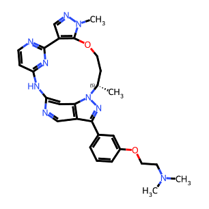 C[C@H]1CCOc2c(cnn2C)-c2nccc(n2)Nc2cc3c(cn2)c(-c2cccc(OCCN(C)C)c2)nn31